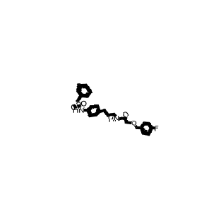 O=C(COCc1ccc(F)cc1)NCCCc1ccc(NS(=O)(=O)Cc2ccccc2)cc1